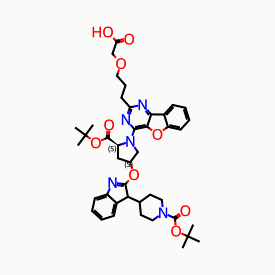 CC(C)(C)OC(=O)[C@@H]1C[C@H](OC2=Nc3ccccc3C2C2CCN(C(=O)OC(C)(C)C)CC2)CN1c1nc(CCCOCC(=O)O)nc2c1oc1ccccc12